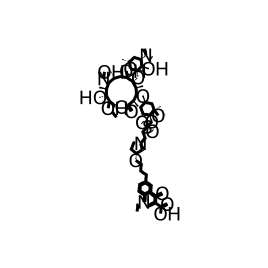 CC[C@H]1OC(=O)[C@H](C)[C@@H](O[C@@H]2C[C@@H](C)[C@H](OS(=O)(=O)CCN3CC[C@@H](OCCCc4ccc5c(c4)c(=O)c(C(=O)O)cn5CC)C3)[C@](C)(OC)C2)[C@H](C)[C@@H](O[C@@H]2O[C@H](C)C[C@H](N(C)C)[C@H]2O)[C@](C)(O)C[C@@H](C)/C(=N\O)[C@H](C)[C@@H](O)[C@]1(C)O